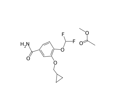 COC(C)=O.NC(=O)c1ccc(OC(F)F)c(OCC2CC2)c1